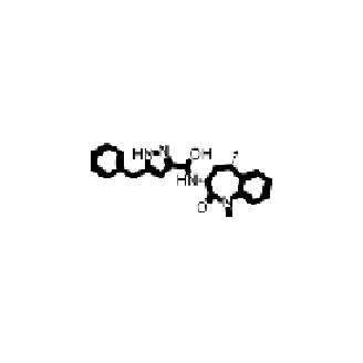 C[C@H]1C[C@@H](NC(O)c2cc(Cc3ccccc3)[nH]n2)C(=O)N(C)c2ccccc21